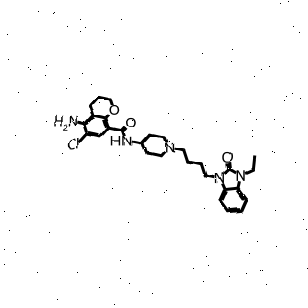 CCn1c(=O)n(CCCCN2CCC(NC(=O)c3cc(Cl)c(N)c4c3OCCC4)CC2)c2ccccc21